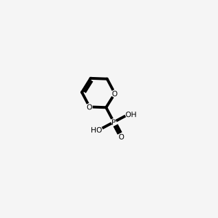 O=P(O)(O)C1OC=CCO1